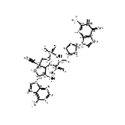 C#C[C@]1(COP(O)(O)=S)O[C@@H](n2cnc3c(N)ncnc32)[C@H](O)C1OP(O)(=S)OC[C@@H]1CC[C@H](n2cnc3c(=O)[nH]c(N)nc32)O1